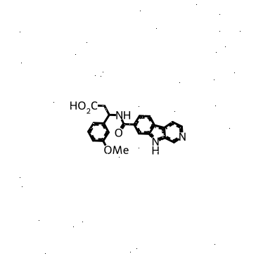 COc1cccc(C(CC(=O)O)NC(=O)c2ccc3c(c2)[nH]c2cnccc23)c1